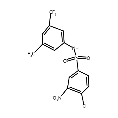 O=[N+]([O-])c1cc(S(=O)(=O)Nc2cc(C(F)(F)F)cc(C(F)(F)F)c2)ccc1Cl